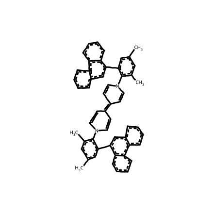 Cc1cc(C)c(N2C=CC(=C3C=CN(c4c(C)cc(C)cc4-c4cc5ccccc5c5ccccc45)C=C3)C=C2)c(-c2cc3ccccc3c3ccccc23)c1